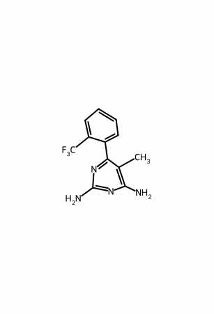 Cc1c(N)nc(N)nc1-c1ccccc1C(F)(F)F